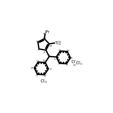 CC(C)C1=CCC(C(c2ccccc2)c2ccccc2)=[C]1[Ti+3].[Cl-].[Cl-].[Cl-]